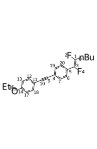 CCCC/C(F)=C(\F)c1ccc(C#Cc2ccc(OCC)cc2)cc1